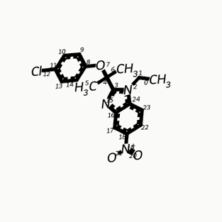 CCn1c(C(C)(C)Oc2ccc(Cl)cc2)nc2cc([N+](=O)[O-])ccc21